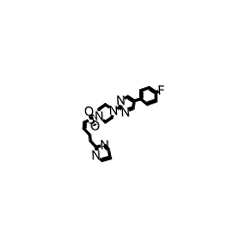 O=S(=O)(/C=C\CCc1ncccn1)N1CCN(c2ncc(-c3ccc(F)cc3)cn2)CC1